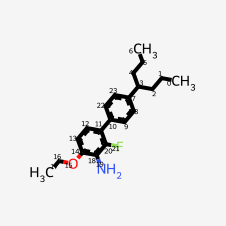 CCCC(CCC)c1ccc(-c2ccc(OCC)c(N)c2F)cc1